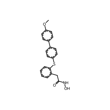 COc1ccc(-c2ccc(Sc3ccccc3CC(=O)NO)cc2)cc1